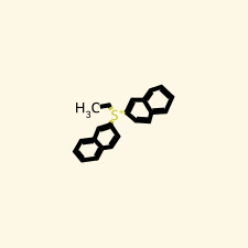 CC[S+](c1ccc2ccccc2c1)c1ccc2ccccc2c1